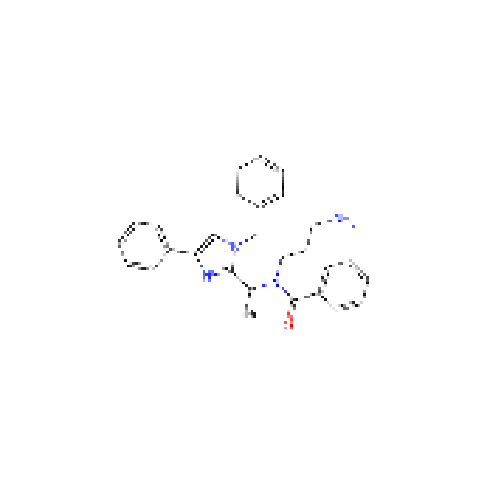 CCC(C)C(c1nc(-c2ccccc2)cn1Cc1ccccc1)N(CCCN)C(=O)c1ccccc1